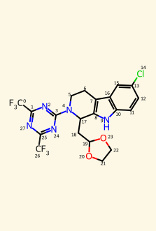 FC(F)(F)c1nc(N2CCc3c([nH]c4ccc(Cl)cc34)C2CC2OCCO2)nc(C(F)(F)F)n1